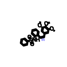 COc1cc(/C=C\c2ccccc2NS(=O)(=O)c2ccccc2)cc(OC)c1OC